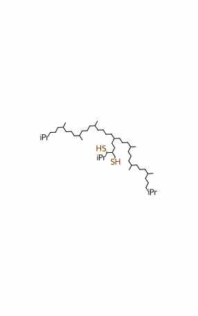 CC(C)CCCC(C)CCCC(C)CCCC(C)CCCCC(CCCC(C)CCCC(C)CCCC(C)CCCC(C)C)CCC(CS)C(S)C(C)C